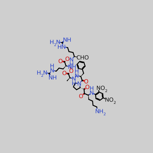 C[C@H](NN[C@@H](Cc1ccccc1)C(=O)N1CCC[C@H]1C(=O)C(=O)[C@H](CCCCN)Nc1ccc([N+](=O)[O-])cc1[N+](=O)[O-])C(=O)ON[C@@H](CCCNC(=N)N)C(=O)ON[C@H](C=O)CCCNC(=N)N